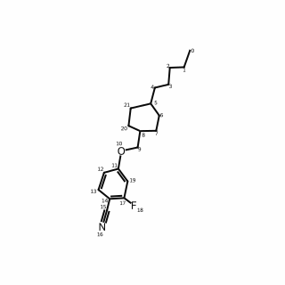 CCCCCC1CCC(COc2ccc(C#N)c(F)c2)CC1